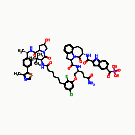 Cc1ncsc1-c1ccc([C@H](C)NC(=O)C2C[C@@H](O)CN2C(=O)[C@@H](NC(=O)CCCCCc2cc(Cl)cc(OC[C@H](CCC(N)=O)NC(=O)C3Cc4cccc5c4N3C(=O)[C@@H](NC(=O)c3cc4cc(C(=O)P(=O)(O)O)ccc4[nH]3)CC5)c2F)C(C)(C)C)cc1